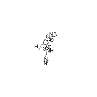 Cc1ccc(S(=O)(=O)c2ccccn2)cc1S(=O)(=O)NCCCn1ccnc1